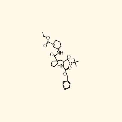 CCOC(=O)[C@H]1CCC[C@@H](NC(=O)C2(CC(NC(=O)OCc3ccccc3)C(=O)OC(C)(C)C)CCCC2)C1